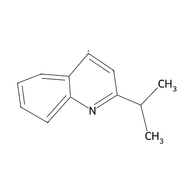 CC(C)c1c[c]c2ccccc2n1